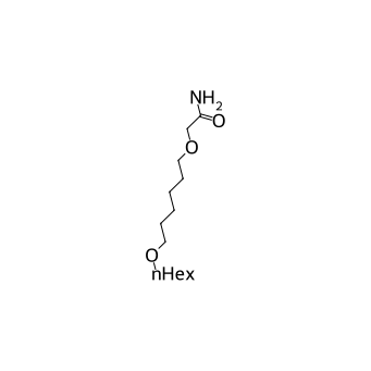 CCCCCCOCCCCCCOCC(N)=O